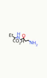 CCC(NCC(=O)CCN)C(=O)O